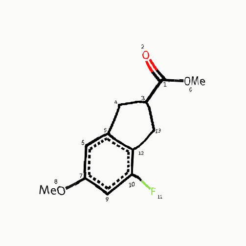 COC(=O)C1Cc2cc(OC)cc(F)c2C1